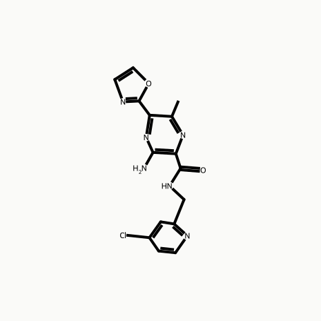 Cc1nc(C(=O)NCc2cc(Cl)ccn2)c(N)nc1-c1ncco1